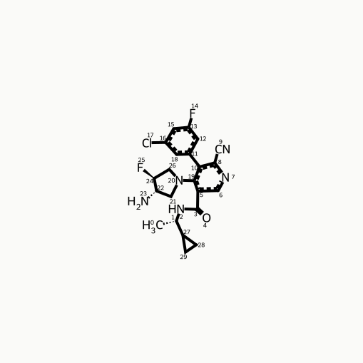 C[C@H](NC(=O)c1cnc(C#N)c(-c2cc(F)cc(Cl)c2)c1N1C[C@H](N)[C@@H](F)C1)C1CC1